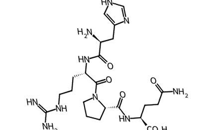 N=C(N)NCCC[C@H](NC(=O)[C@@H](N)Cc1c[nH]cn1)C(=O)N1CCC[C@H]1C(=O)N[C@@H](CCC(N)=O)C(=O)O